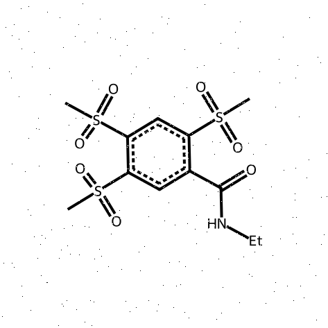 CCNC(=O)c1cc(S(C)(=O)=O)c(S(C)(=O)=O)cc1S(C)(=O)=O